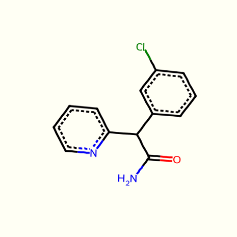 NC(=O)C(c1cccc(Cl)c1)c1ccccn1